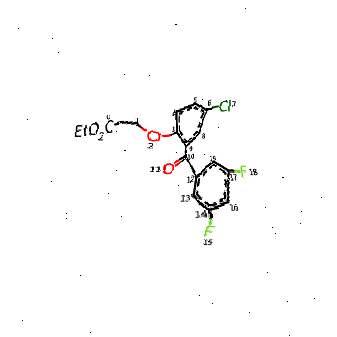 CCOC(=O)COc1ccc(Cl)cc1C(=O)c1cc(F)cc(F)c1